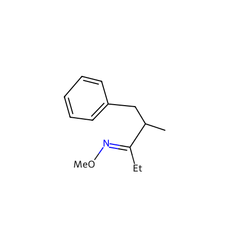 CCC(=NOC)C(C)Cc1ccccc1